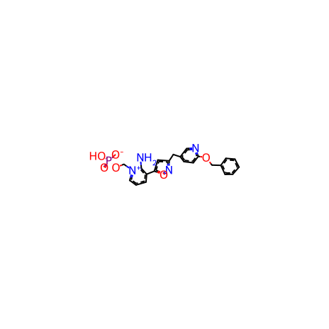 Nc1c(-c2cc(Cc3ccc(OCc4ccccc4)nc3)no2)ccc[n+]1COP(=O)([O-])O